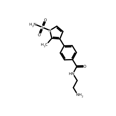 Cc1c(-c2ccc(C(=O)NCCN)cc2)ccn1S(N)(=O)=O